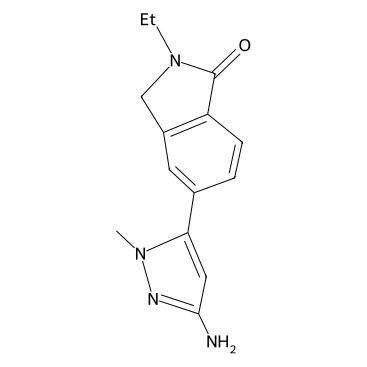 CCN1Cc2cc(-c3cc(N)nn3C)ccc2C1=O